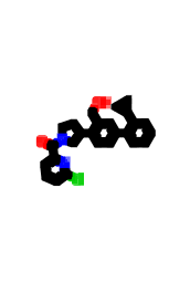 O=C(c1cccc(Cl)n1)N1CCC(c2ccc(-c3ccccc3C3CC3)cc2CO)C1